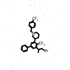 CC(C)CC(C)c1cc(-c2ccccc2)cc(C2CCCN(Cc3ccc(C(F)(F)F)cc3)C2)c1C(F)(F)F